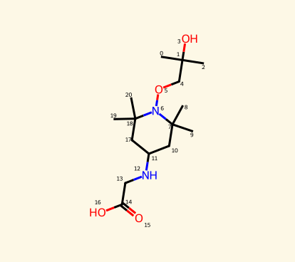 CC(C)(O)CON1C(C)(C)CC(NCC(=O)O)CC1(C)C